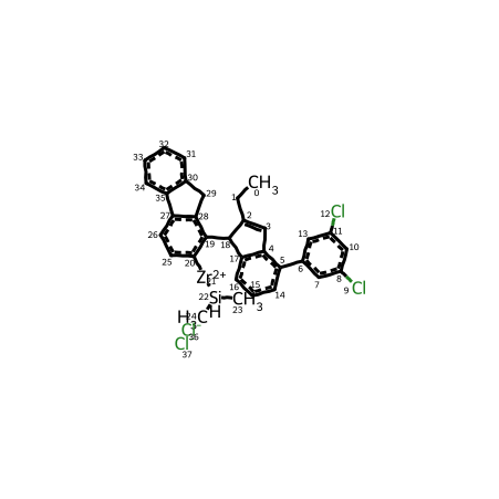 CCC1=Cc2c(-c3cc(Cl)cc(Cl)c3)cccc2C1c1[c]([Zr+2][SiH](C)C)ccc2c1Cc1ccccc1-2.[Cl-].[Cl-]